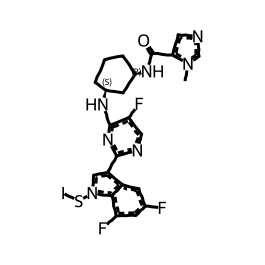 Cn1cncc1C(=O)N[C@@H]1CCC[C@H](Nc2nc(-c3cn(SI)c4c(F)cc(F)cc34)ncc2F)C1